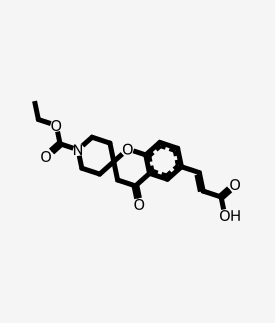 CCOC(=O)N1CCC2(CC1)CC(=O)c1cc(C=CC(=O)O)ccc1O2